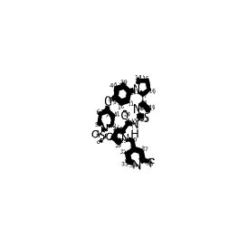 CS(=O)(=O)N1CCC(Oc2ccc(N3CCC[C@@H]3c3csc(NC(=O)c4cccn4Cc4ccnc(F)c4)n3)cc2)CC1